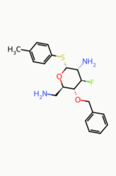 Cc1ccc(S[C@H]2O[C@H](CN)[C@@H](OCc3ccccc3)[C@H](F)[C@H]2N)cc1